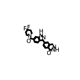 O=C(c1ccc2c(-c3ccc4c(=O)[nH]ncc4c3)n[nH]c2c1)N1CCC(F)(F)CC1